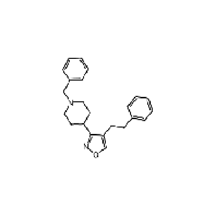 c1ccc(CCc2conc2C2CCN(Cc3ccccc3)CC2)cc1